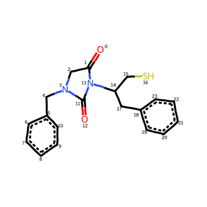 O=C1CN(Cc2ccccc2)C(=O)N1C(CS)Cc1ccccc1